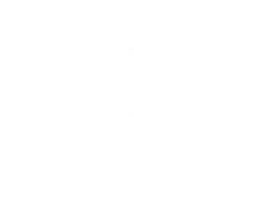 Cl.c1ccc(-c2sc3ccccc3c2Oc2ccc(OCCN3CCCCC3)cc2)cc1